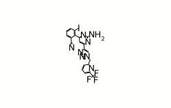 N#Cc1cccc(I)c1-c1cc(-c2cn(Cc3cccc(C(F)(F)F)n3)nn2)nc(N)n1